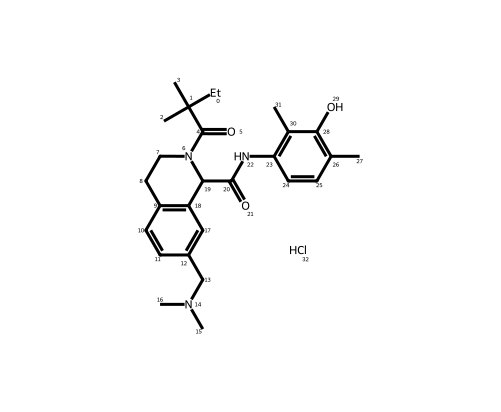 CCC(C)(C)C(=O)N1CCc2ccc(CN(C)C)cc2C1C(=O)Nc1ccc(C)c(O)c1C.Cl